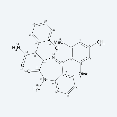 COc1cc(C)cc(OC)c1C1=NC(N(C(N)=O)c2ccccc2Cl)C(=O)N(C)c2ccccc21